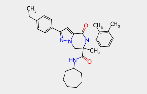 CCc1ccc(-c2cc3n(n2)CC(C)(C(=O)NC2CCCCCC2)N(c2cccc(C)c2C)C3=O)cc1